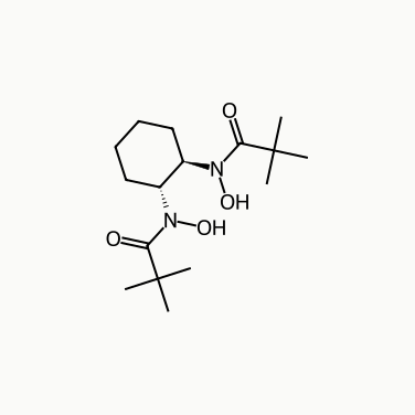 CC(C)(C)C(=O)N(O)[C@@H]1CCCC[C@H]1N(O)C(=O)C(C)(C)C